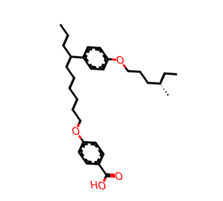 CCCC(CCCCCCOc1ccc(C(=O)O)cc1)c1ccc(OCCC[C@@H](C)CC)cc1